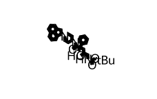 CC(C)(C)OC(=O)NCC(O)CC1(C)C(=O)N(C2CCN(C3Cc4cccc5cccc3c45)CC2)c2ccccc21